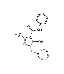 Cc1nn(Cc2ccccc2)c(O)c1C(=O)Nc1ccccc1